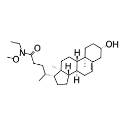 CCN(OC)C(=O)CCC(C)[C@H]1CC[C@H]2[C@@H]3CC=C4C[C@@H](O)CC[C@]4(C)[C@H]3CC[C@]12C